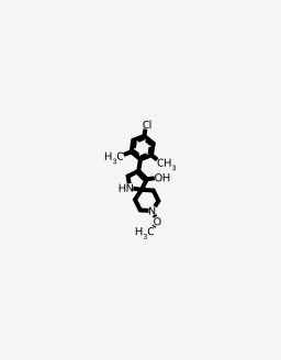 CON1CCC2(CC1)NCC(c1c(C)cc(Cl)cc1C)=C2O